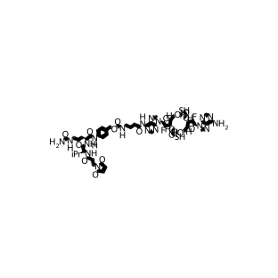 CC(C)[C@H](NC(=O)CCN1C(=O)C=CC1=O)C(=O)N[C@@H](CCCNC(N)=O)C(=O)Nc1ccc(COC(=O)NCCCC(=O)Nc2ncnc3c2ncn3[C@@H]2O[C@@H]3CO[P@](=O)(S)O[C@H]4[C@@H](F)[C@H](n5cnc6c(N)ncnc65)O[C@@H]4CO[P@@](=O)(S)O[C@H]3[C@H]2F)cc1